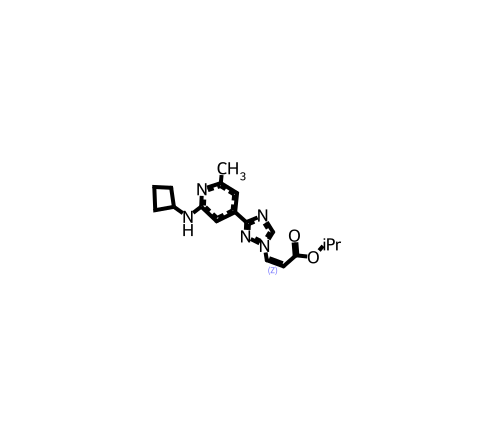 Cc1cc(-c2ncn(/C=C\C(=O)OC(C)C)n2)cc(NC2CCC2)n1